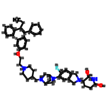 CCC(=C(c1ccccc1)c1ccc(OCCN2CCC(CN3CC4CC3CN4c3cc4c(cc3F)CN(C3CCC(=O)NC3=O)C4)CC2)cc1)c1ccccc1